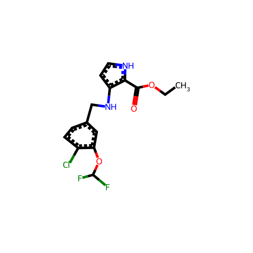 CCOC(=O)c1[nH]ccc1NCc1ccc(Cl)c(OC(F)F)c1